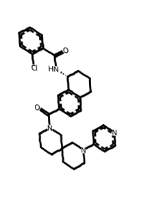 O=C(N[C@@H]1CCCc2ccc(C(=O)N3CCCC4(CCCN(c5ccncc5)C4)C3)cc21)c1ccccc1Cl